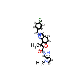 Cc1c(C(=O)NCc2cccn2C)oc2c1-c1nn(Cc3ccc(Cl)cc3)cc1CC2